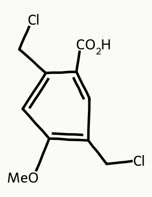 COc1cc(CCl)c(C(=O)O)cc1CCl